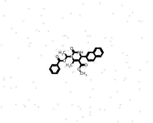 COC(=O)C1=C(C)N(C(C)OC(=O)c2ccccc2)C(=O)NC1c1ccc2ccccc2c1